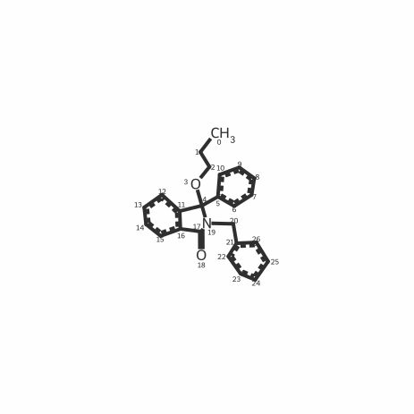 CCCOC1(c2ccccc2)c2ccccc2C(=O)N1Cc1ccccc1